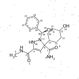 CNC(=O)C1=CC(C(N)=O)(C2CCC(O)CC2)N([C@H](C)c2ccccc2)N1